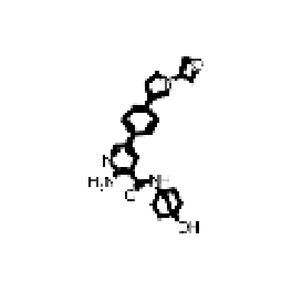 Nc1ncc(-c2ccc(C3CCN(C4COC4)C3)cc2)cc1C(=O)NC12CCC(O)(CC1)CC2